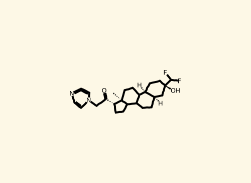 C[C@]12CCC3C(CC[C@@H]4C[C@@](O)(C(F)F)CC[C@H]34)C1CC[C@@H]2C(=O)CN1C=C=NC=C1